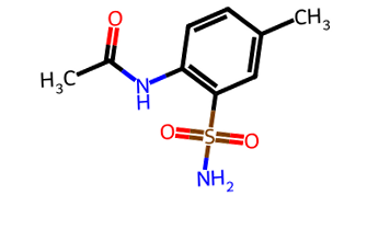 CC(=O)Nc1ccc(C)cc1S(N)(=O)=O